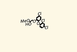 COC(O)COc1cc(Cl)ccc1Oc1ccc(Cl)cc1Cl